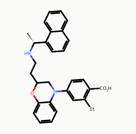 CCc1cc(N2CC(CCN[C@H](C)c3cccc4ccccc34)Oc3ccccc32)ccc1C(=O)O